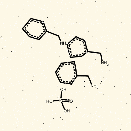 NCc1ccccc1.NCc1ccccc1.NCc1ccccc1.O=P(O)(O)O